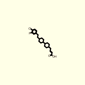 O=C(O)/C=C/CC1CCC(C2CCC(CCc3ccc(Cl)c(F)c3)CC2)CC1